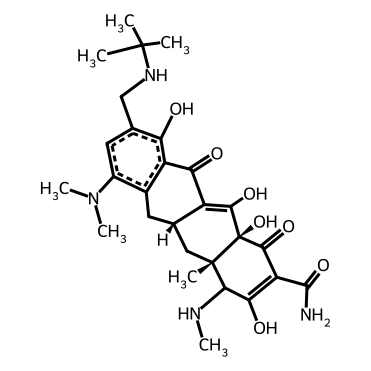 CNC1C(O)=C(C(N)=O)C(=O)[C@@]2(O)C(O)=C3C(=O)c4c(O)c(CNC(C)(C)C)cc(N(C)C)c4C[C@H]3C[C@@]12C